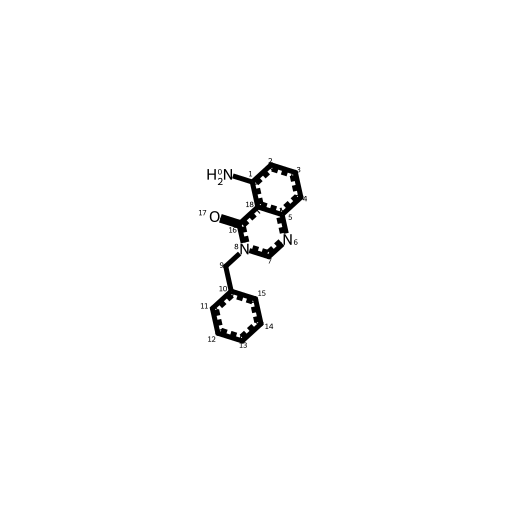 Nc1cccc2ncn(Cc3ccccc3)c(=O)c12